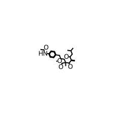 C=C1C(=O)C(C)(C(=O)OC)C(CCc2ccc(NC(C)=O)cc2)OC1CC(C)C